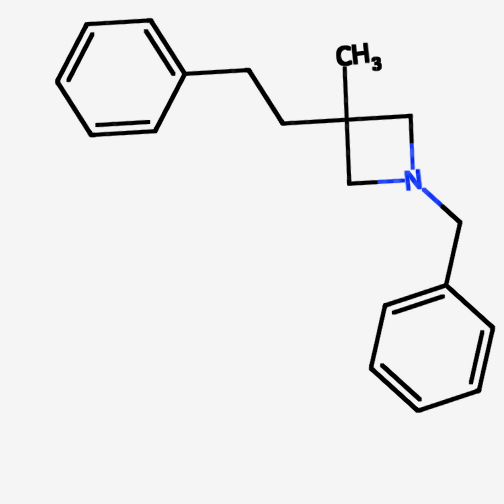 CC1(CCc2ccccc2)CN(Cc2ccccc2)C1